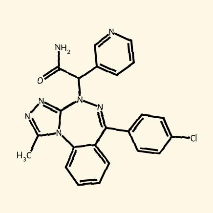 Cc1nnc2n1-c1ccccc1C(c1ccc(Cl)cc1)=NN2C(C(N)=O)c1cccnc1